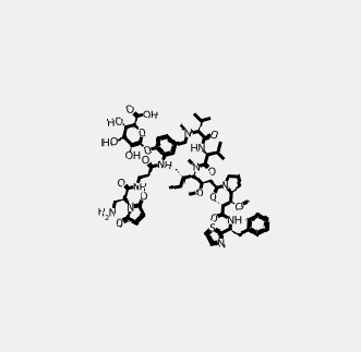 CC[C@H](C)[C@@H]([C@@H](CC(=O)N1CCC[C@H]1[C@H](OC)[C@@H](C)C(=O)N[C@@H](Cc1ccccc1)c1nccs1)OC)N(C)C(=O)[C@@H](NC(=O)[C@H](C(C)C)N(C)Cc1ccc(O[C@@H]2O[C@H](C(=O)O)[C@@H](O)[C@H](O)[C@H]2O)c(NC(=O)CCNC(=O)[C@H](CN)N2C(=O)C=CC2=O)c1)C(C)C